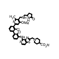 COc1cc(-c2cccc(-c3cccc(Nc4nccc5sc(CN6CCC(C(=O)O)CC6)nc45)c3Cl)c2Cl)nc(C)c1CNCC1CCC(=O)N1